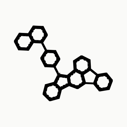 c1ccc2c(c1)-c1cccc3c1c-2cc1c2ccccc2n(-c2ccc(-c4cccc5ccccc45)cc2)c31